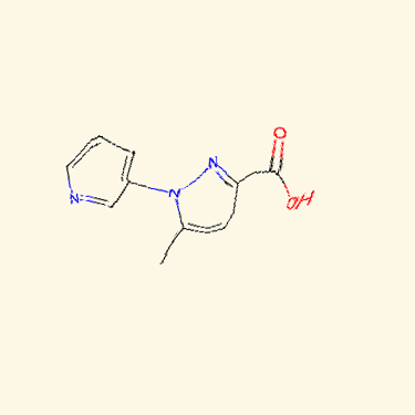 Cc1cc(C(=O)O)nn1-c1cccnc1